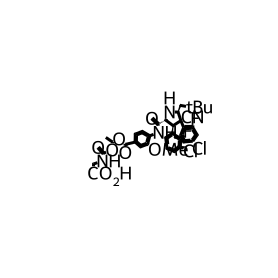 COc1cc(C(=O)OC(C)OC(=O)NCC(=O)O)ccc1NC(=O)[C@@H]1N[C@@H](CC(C)(C)C)[C@](C#N)(c2ccc(Cl)cc2F)[C@H]1c1cccc(Cl)c1F